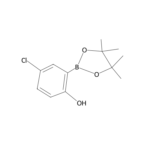 CC1(C)OB(c2cc(Cl)ccc2O)OC1(C)C